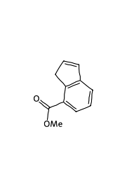 COC(=O)c1cccc2c1CC=C2